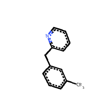 FC(F)(F)c1cccc(Cc2ccccn2)c1